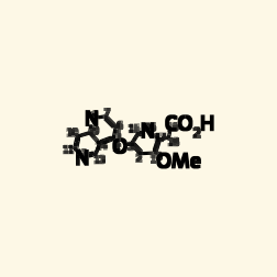 COc1cc(Oc2ccnc3ccncc23)cnc1CC(=O)O